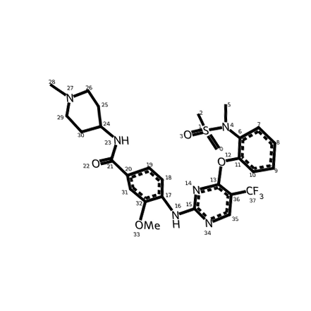 C=S(C)(=O)N(C)c1ccccc1Oc1nc(Nc2ccc(C(=O)NC3CCN(C)CC3)cc2OC)ncc1C(F)(F)F